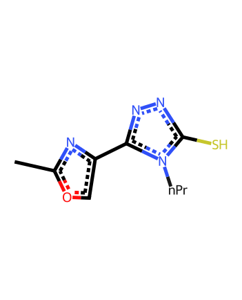 CCCn1c(S)nnc1-c1coc(C)n1